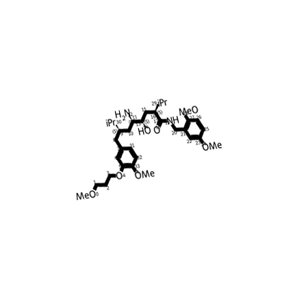 COCCCOc1cc(C[C@@H](C[C@H](N)[C@@H](O)C[C@H](C(=O)NCc2cc(OC)ccc2OC)C(C)C)C(C)C)ccc1OC